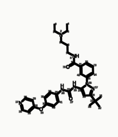 CCN(CC)CCCNC(=O)c1cccc(-n2nc(C(C)(C)C)cc2NC(=O)Nc2ccc(Oc3ccncc3)cc2)c1